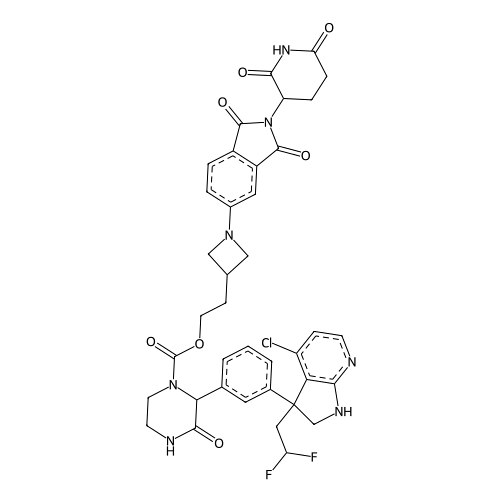 O=C1CCC(N2C(=O)c3ccc(N4CC(CCOC(=O)N5CCNC(=O)C5c5cccc(C6(CC(F)F)CNc7nccc(Cl)c76)c5)C4)cc3C2=O)C(=O)N1